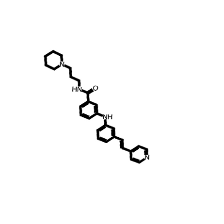 O=C(NCCCN1CCCCC1)c1cccc(Nc2cccc(/C=C/c3ccncc3)c2)c1